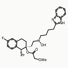 COCC(=O)O[C@]1(CCN(O)CCCCc2nc3ccccc3[nH]2)CCc2cc(F)ccc2[C@@H]1C(C)C